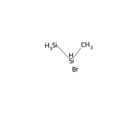 C[SiH]([SiH3])Br